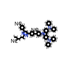 C=C/C(C#N)=C\C=C(/C)c1nc(-c2ccc(C#N)cc2)cc(-c2ccc(-c3ccc(-n4c5ccc(N(c6ccccc6)c6ccccc6)cc5c5cc(N(c6ccccc6)c6ccccc6)ccc54)cc3C#N)cc2)n1